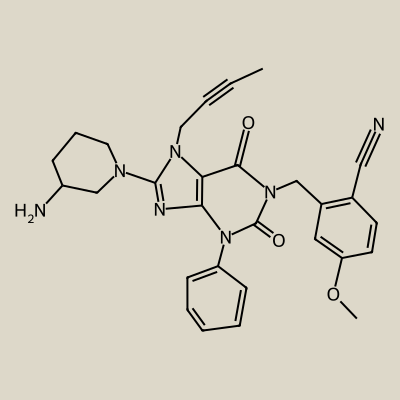 CC#CCn1c(N2CCCC(N)C2)nc2c1c(=O)n(Cc1cc(OC)ccc1C#N)c(=O)n2-c1ccccc1